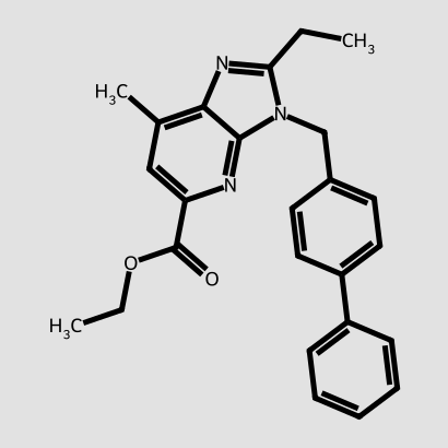 CCOC(=O)c1cc(C)c2nc(CC)n(Cc3ccc(-c4ccccc4)cc3)c2n1